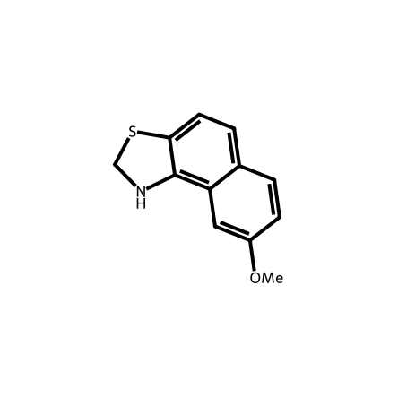 COc1ccc2ccc3c(c2c1)NCS3